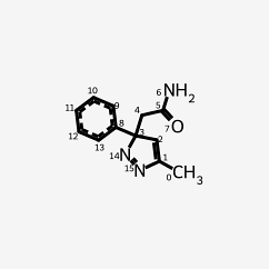 CC1=CC(CC(N)=O)(c2ccccc2)N=N1